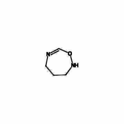 C1=NCCCNO1